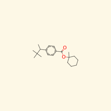 CC(c1ccc(C(=O)OC2(C)CCCCC2)cc1)C(C)(C)C